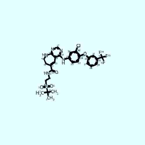 CC(C)(C)S(=O)(=O)CCNC(=O)C1=Cc2c(ncnc2Nc2ccc(Oc3cccc(C(F)(F)F)c3)c(Cl)c2)NCC1